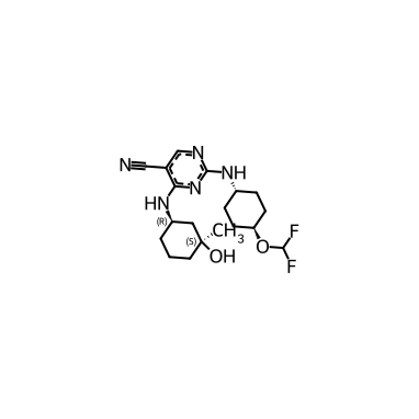 C[C@]1(O)CCC[C@@H](Nc2nc(N[C@H]3CC[C@H](OC(F)F)CC3)ncc2C#N)C1